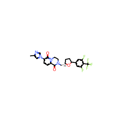 Cc1cn(-c2ccc3n(c2=O)CCN(C[C@@H]2CCC(c4cc(F)c(C(F)(F)F)c(F)c4)O2)C3=O)cn1